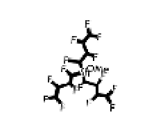 C[O][Sn]([CH](F)C(F)C(F)C(F)F)([CH](F)C(F)C(F)C(F)F)[CH](F)C(F)C(F)C(F)F